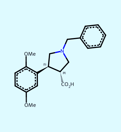 COc1ccc(OC)c([C@H]2CN(Cc3ccccc3)C[C@@H]2C(=O)O)c1